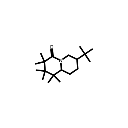 CC(C)(C)C1CCC2N(C1)C(=O)C(C)(C)C(C)(C)C2(C)C